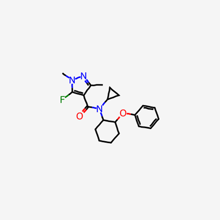 Cc1nn(C)c(F)c1C(=O)N(C1CC1)C1CCCCC1Oc1ccccc1